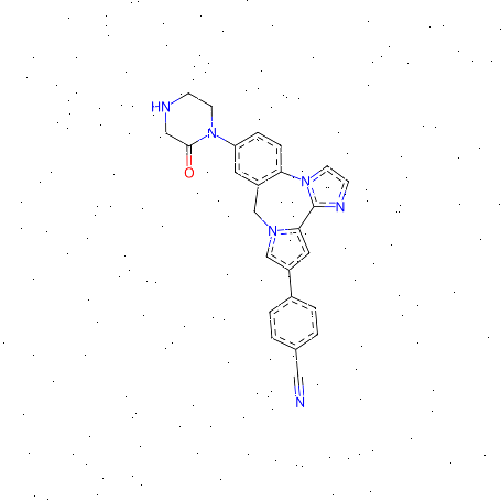 N#Cc1ccc(-c2cc3n(c2)Cc2cc(N4CCNCC4=O)ccc2-n2ccnc2-3)cc1